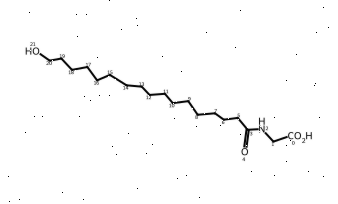 O=C(O)CNC(=O)CCCCCCCCCCCCCCCCO